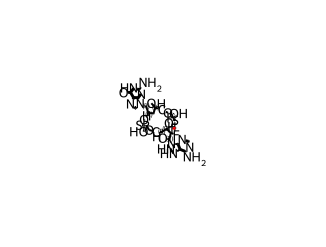 Nc1nc2c(ncn2[C@@H]2O[C@@H]3COP(O)(=S)O[C@@H]4[C@@H](COP(O)(=S)O[C@@H]2C3)O[C@@H](N2NNc3c(N)ncnc32)C4(F)F)c(=O)[nH]1